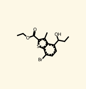 CCOC(=O)c1sc2c(Br)ccc(C(O)CC)c2c1C